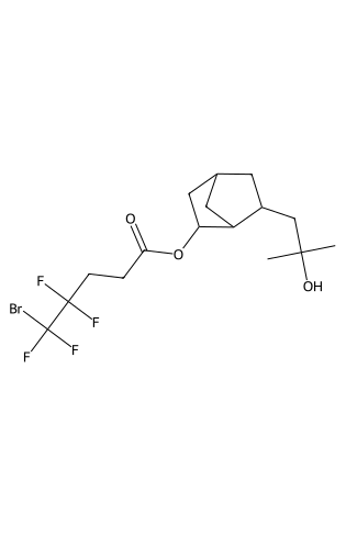 CC(C)(O)CC1CC2CC(OC(=O)CCC(F)(F)C(F)(F)Br)C1C2